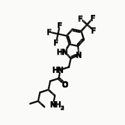 CC(C)CC(CN)CC(=O)NCc1nc2cc(C(F)(F)F)cc(C(F)(F)F)c2[nH]1